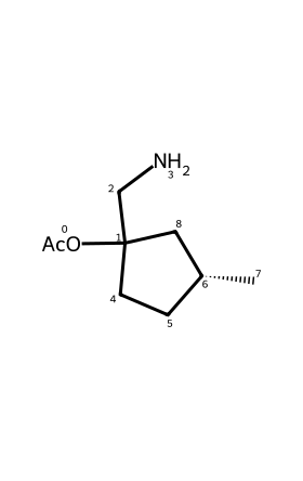 CC(=O)OC1(CN)CC[C@@H](C)C1